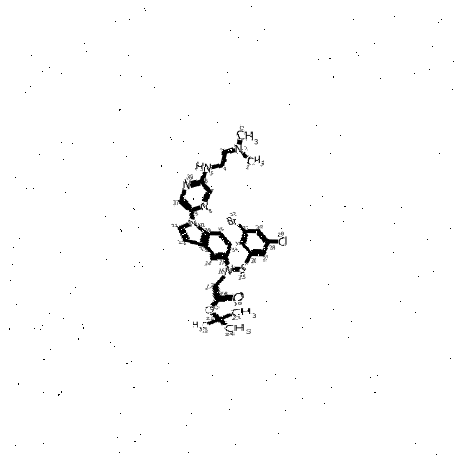 CN(C)CCNc1cnc(-n2ccc3cc(N(CC(=O)OC(C)(C)C)Sc4cc(Cl)cc(Br)c4)ccc32)cn1